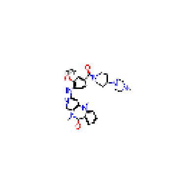 CCCOc1cc(C(=O)N2CCC(N3CCN(C)CC3)CC2)ccc1Nc1cc2c(cn1)N(C)C(=O)c1ccccc1N2C